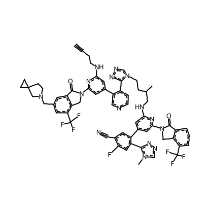 C#CCCNc1cc(-c2cnccc2-c2nncn2CCC(C)CNc2cc(-c3cc(C#N)c(F)cc3-c3nncn3C)cc(N3Cc4c(cccc4C(F)(F)F)C3=O)n2)cc(N2Cc3c(cc(CN4CCC5(CC5)C4)cc3C(F)(F)F)C2=O)n1